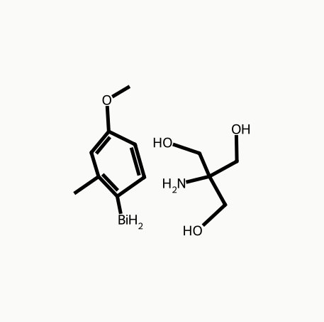 COc1cc[c]([BiH2])c(C)c1.NC(CO)(CO)CO